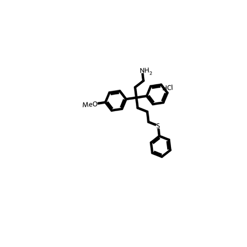 COc1ccc(C(CCN)(CCCSc2ccccc2)c2ccccc2)cc1.Cl